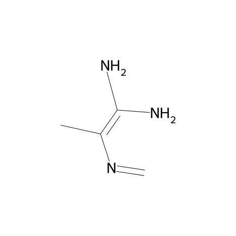 C=NC(C)=C(N)N